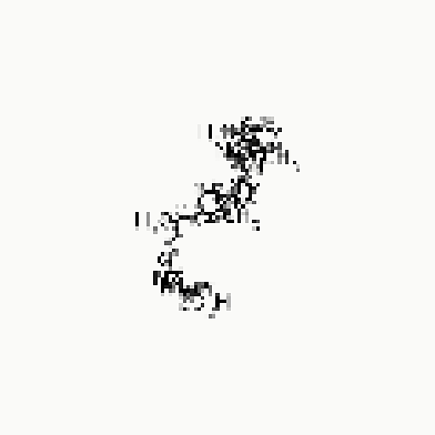 CC(CCCOc1cn([C@H](C(=O)O)C(C)C)nn1)CCC1CCCN(c2nccc(-c3noc([C@@]4(C)CCCc5sc(N)c(C#N)c54)n3)n2)[C@@H](C)C1